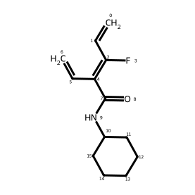 C=C/C(F)=C(\C=C)C(=O)NC1CCCCC1